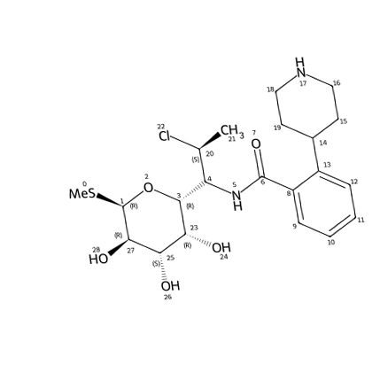 CS[C@H]1O[C@H](C(NC(=O)c2ccccc2C2CCNCC2)[C@H](C)Cl)[C@H](O)[C@H](O)[C@H]1O